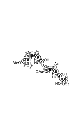 CC[C@@H]1OC(CO)[C@H](COC[C@@H]2OC(CO)[C@@H](COC[C@@H]3OC(CC(C)=O)[C@@H](COC[C@@H]4OC(COC[C@@H]5OC(CO)[C@@H](COC[C@@H]6OC(C)[C@@H](COC[C@@H]7OC(C)[C@@H](COC[C@@H]8OC(COC)[C@@H](OC(=O)O)[C@@H](O)C8O)[C@@H](O)C7O)[C@@H](O)C6O)[C@@H](O)C5O)[C@@H](COC)[C@@H](O)C4O)[C@@H](O)C3O)[C@@H](O)C2O)[C@@H](O)C1O